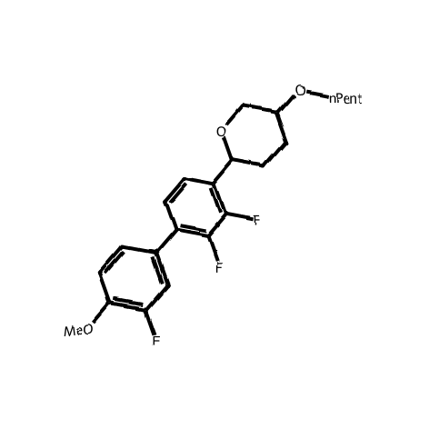 CCCCCOC1CCC(c2ccc(-c3ccc(OC)c(F)c3)c(F)c2F)OC1